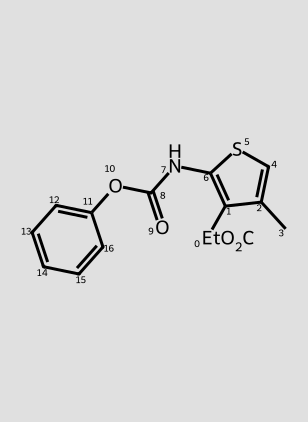 CCOC(=O)c1c(C)csc1NC(=O)Oc1ccccc1